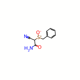 N#CC(C(N)=O)[S+]([O-])Cc1ccccc1